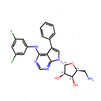 NC[C@@H]1O[C@@H](n2cc(-c3ccccc3)c3c(Nc4cc(F)cc(F)c4)ncnc32)[C@H](O)[C@@H]1O